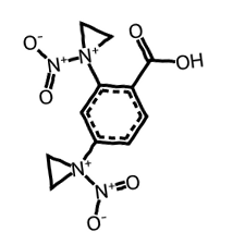 O=C(O)c1ccc([N+]2([N+](=O)[O-])CC2)cc1[N+]1([N+](=O)[O-])CC1